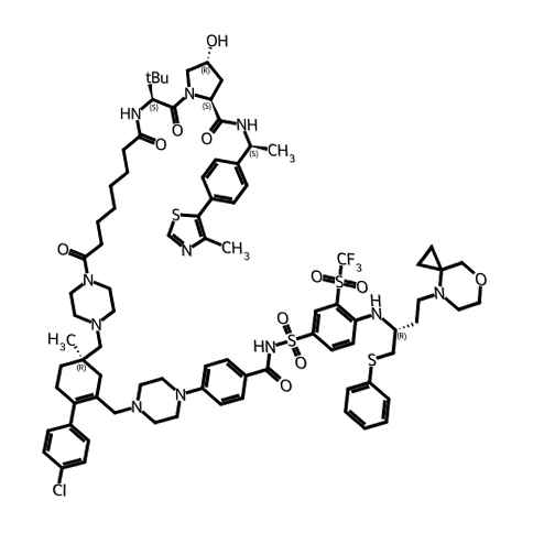 Cc1ncsc1-c1ccc([C@H](C)NC(=O)[C@@H]2C[C@@H](O)CN2C(=O)[C@@H](NC(=O)CCCCCCC(=O)N2CCN(C[C@]3(C)CCC(c4ccc(Cl)cc4)=C(CN4CCN(c5ccc(C(=O)NS(=O)(=O)c6ccc(N[C@H](CCN7CCOCC78CC8)CSc7ccccc7)c(S(=O)(=O)C(F)(F)F)c6)cc5)CC4)C3)CC2)C(C)(C)C)cc1